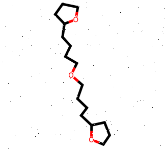 C(CCC1CCCO1)COCCCCC1CCCO1